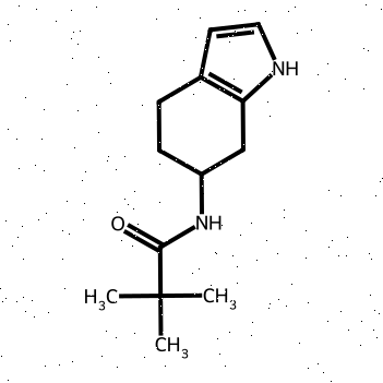 CC(C)(C)C(=O)NC1CCc2cc[nH]c2C1